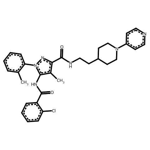 Cc1ccccc1-n1nc(C(=O)NCCC2CCN(c3ccncc3)CC2)c(C)c1NC(=O)c1ccccc1Cl